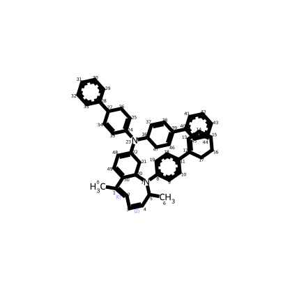 C/C1=C\C=C/C(C)N(c2ccc(C3=CC=CCC3)cc2)C2CC(N(C3=CCC(c4ccccc4)C=C3)C3C=CC(c4ccccc4)=CC3)=CC=C12